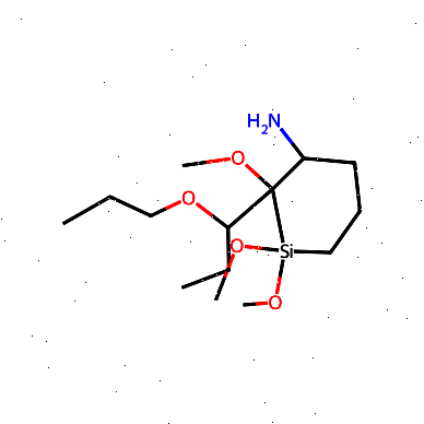 CCCOC(CC)C1(OC)C(N)CCC[Si]1(OC)OC